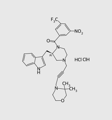 CC1(C)COCCN1CC#CCN1CCN(C(=O)c2cc([N+](=O)[O-])cc(C(F)(F)F)c2)[C@H](Cc2c[nH]c3ccccc23)C1.Cl.Cl